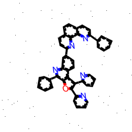 c1ccc(-c2ccc3ccc4ccc(-c5ccc6c(c5)nc(-c5ccccc5)c5oc(-c7ccccn7)c(-c7ccccn7)c56)nc4c3n2)cc1